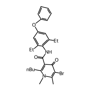 CCCCc1c(C(=O)Nc2c(CC)cc(Oc3ccccc3)cc2CC)c(=O)c(Br)c(C)n1C